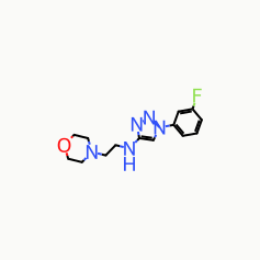 Fc1cccc(-n2cc(NCCN3CCOCC3)nn2)c1